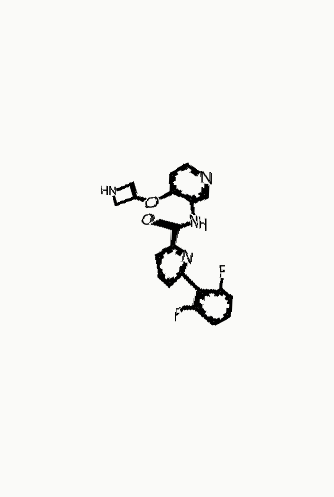 O=C(Nc1cnccc1OC1CNC1)c1cccc(-c2c(F)cccc2F)n1